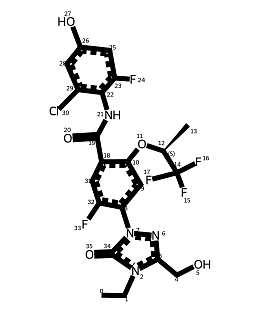 CCn1c(CO)nn(-c2cc(O[C@@H](C)C(F)(F)F)c(C(=O)Nc3c(F)cc(O)cc3Cl)cc2F)c1=O